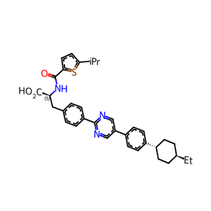 CC[C@H]1CC[C@H](c2ccc(-c3cnc(-c4ccc(C[C@H](NC(=O)c5ccc(C(C)C)s5)C(=O)O)cc4)nc3)cc2)CC1